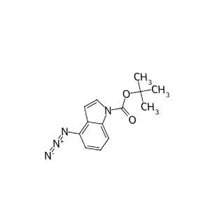 CC(C)(C)OC(=O)n1ccc2c(N=[N+]=[N-])cccc21